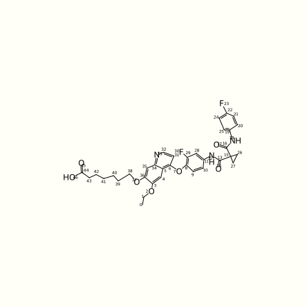 CCOc1cc2c(Oc3ccc(NC(=O)C4(C(=O)Nc5ccc(F)cc5)CC4)cc3F)ccnc2cc1OCCCCCCC(=O)O